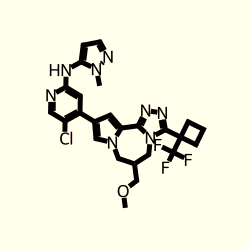 COCC1Cn2cc(-c3cc(Nc4ccnn4C)ncc3Cl)cc2-c2nnc(C3(C(F)(F)F)CCC3)n2C1